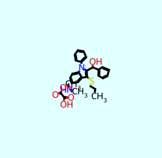 CCCSc1c(C(O)c2ccccc2)n(-c2ccccc2)c2ccccc12.CNC.O=C(O)C(=O)O